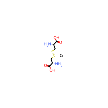 N[C@@H](CSSC[C@H](N)C(=O)O)C(=O)O.[Cr]